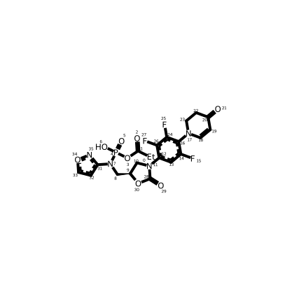 CCC(=O)OP(=O)(O)N(C[C@H]1CN(c2cc(F)c(N3C=CC(=O)CC3)c(F)c2F)C(=O)O1)c1ccon1